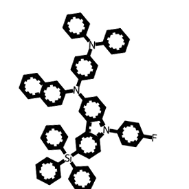 Fc1ccc(-n2c3ccc(N(c4ccc(N(c5ccccc5)c5ccccc5)cc4)c4ccc5ccccc5c4)cc3c3cc([Si](c4ccccc4)(c4ccccc4)c4ccccc4)ccc32)cc1